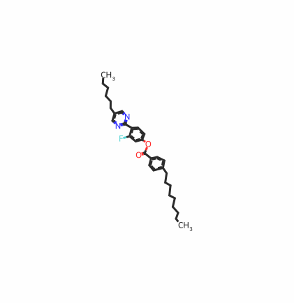 CCCCCCCCCc1ccc(C(=O)Oc2ccc(-c3ncc(CCCCCC)cn3)c(F)c2)cc1